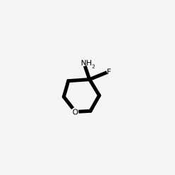 NC1(F)CCOCC1